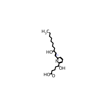 CCCCCCCC[C@H](O)/C=C/c1cccc([C@@H](O)CCCC(=O)O)n1